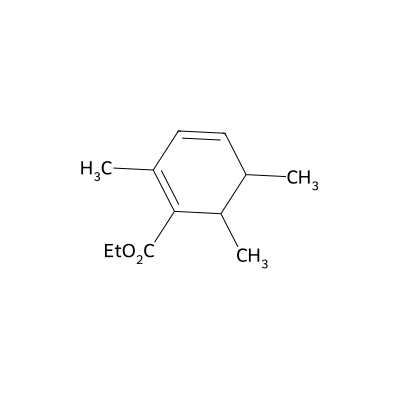 CCOC(=O)C1=C(C)C=CC(C)C1C